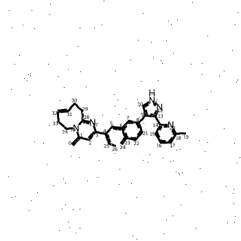 C=C1C=C(C(/C=c2/cc(-c3c[nH]nc3-c3cccc(C)n3)ccc2=C)=C/C)N=C2CC/C=C/CCN12